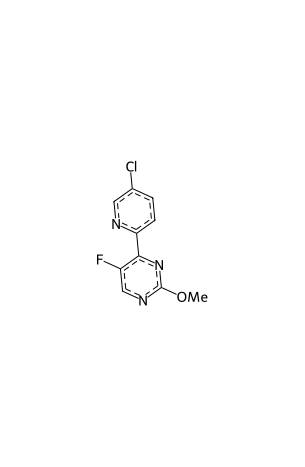 COc1ncc(F)c(-c2ccc(Cl)cn2)n1